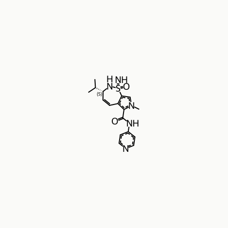 CC(C)[C@H]1C=Cc2c(cn(C)c2C(=O)Nc2ccncc2)S(=N)(=O)N1